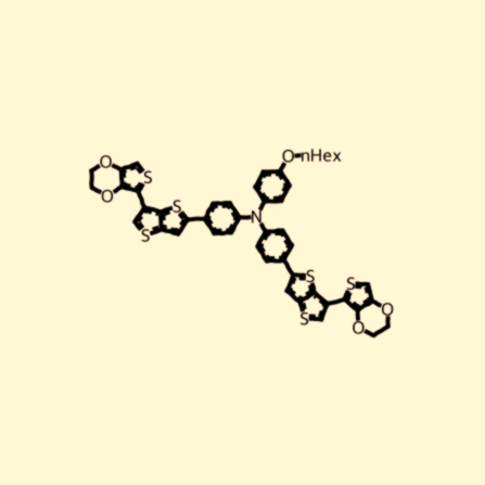 CCCCCCOc1ccc(N(c2ccc(-c3cc4scc(-c5scc6c5OCCO6)c4s3)cc2)c2ccc(-c3cc4scc(-c5scc6c5OCCO6)c4s3)cc2)cc1